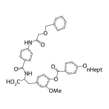 CCCCCCCOc1ccc(C(=O)Oc2ccc(CC(NC(=O)c3ccc(NC(=O)COCc4ccccc4)cc3)C(=O)O)cc2OC)cc1